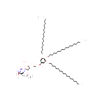 CCCCCCCCCCCCCCCCCCOc1cc(C(=O)OCC(=O)O[C@@H]2[C@@H](O[Si](C)(C)C(C)(C)C)[C@H](n3ccc(=O)[nH]c3=O)O[C@@H]2CO)cc(OCCCCCCCCCCCCCCCCCC)c1OCCCCCCCCCCCCCCCCCC